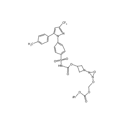 Cc1ccc(-c2cc(C(F)(F)F)nn2-c2ccc(S(=O)(=O)NC(=O)OC3CN(n4on4OCOC(=O)OC(C)C)C3)cc2)cc1